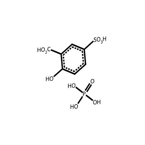 O=C(O)c1cc(S(=O)(=O)O)ccc1O.O=P(O)(O)O